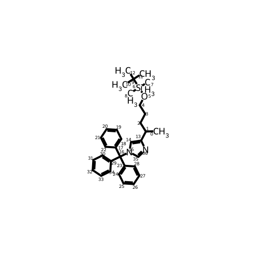 CC(CCCO[Si](C)(C)C(C)(C)C)c1cn(C(c2ccccc2)(c2ccccc2)c2ccccc2)cn1